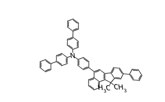 CC1(C)c2cc(-c3ccccc3)ccc2-c2cc(-c3ccc(N(c4ccc(-c5ccccc5)cc4)c4ccc(-c5ccccc5)cc4)cc3)c3ccccc3c21